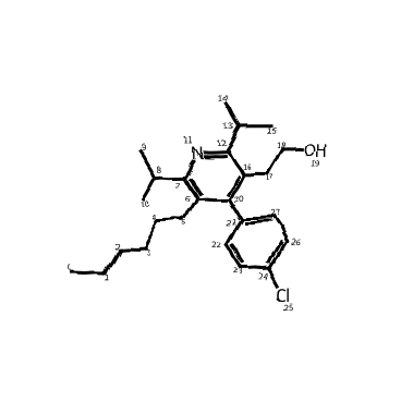 CCCCCCc1c(C(C)C)nc(C(C)C)c(CCO)c1-c1ccc(Cl)cc1